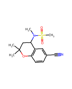 CN(C1CC(C)(C)Oc2ccc(C#N)cc21)S(C)(=O)=O